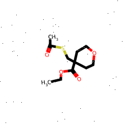 CCOC(=O)C1(CSC(C)=O)CCOCC1